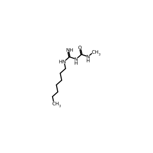 CCCCCCCNC(=N)NC(=O)NC